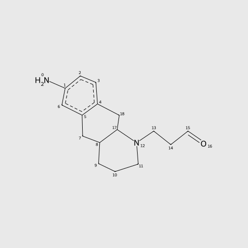 Nc1ccc2c(c1)CC1CCCN(CCC=O)C1C2